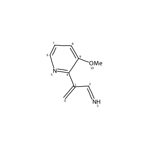 C=C(C=N)c1ncccc1OC